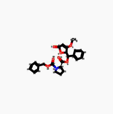 COC1=CC(=O)OC1C(OC(=O)[C@@H]1CCCN1C(=O)OCc1ccccc1)c1ccccc1